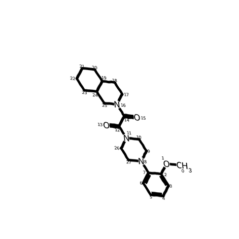 COc1ccccc1N1CCN(C(=O)C(=O)N2CCC3CCCCC3C2)CC1